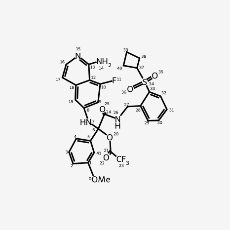 COc1cccc(C(Nc2cc(F)c3c(N)nccc3c2)(OC(=O)C(F)(F)F)C(=O)NCc2ccccc2S(=O)(=O)C2CCC2)c1